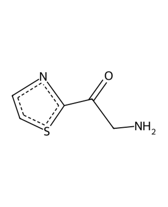 NCC(=O)c1nccs1